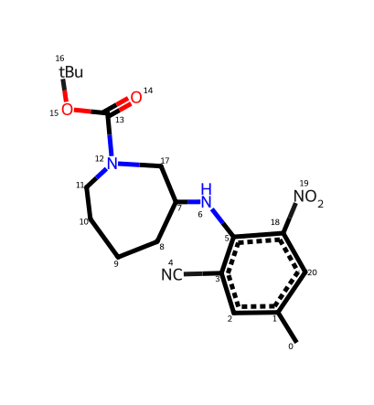 Cc1cc(C#N)c(NC2CCCCN(C(=O)OC(C)(C)C)C2)c([N+](=O)[O-])c1